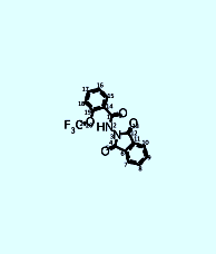 O=C(NN1C(=O)c2ccccc2C1=O)c1ccccc1OC(F)(F)F